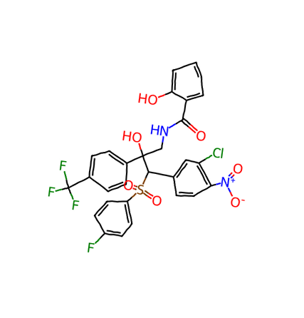 O=C(NCC(O)(c1ccc(C(F)(F)F)cc1)C(c1ccc([N+](=O)[O-])c(Cl)c1)S(=O)(=O)c1ccc(F)cc1)c1ccccc1O